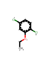 C[CH]Oc1cc(Cl)ccc1Cl